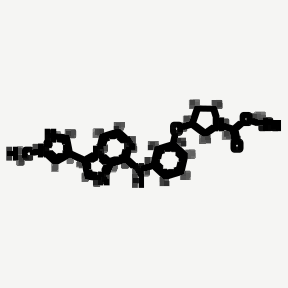 Cn1cc(-c2cnc3c(Nc4cccc(OC5CCN(C(=O)OC(C)(C)C)C5)c4)nccn23)cn1